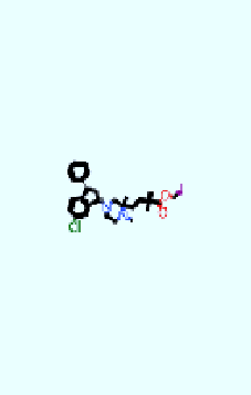 CN1CCN([C@@H]2C[C@@H](c3ccccc3)c3ccc(Cl)cc32)CC1(C)CCC(C)(C)C(=O)OCI